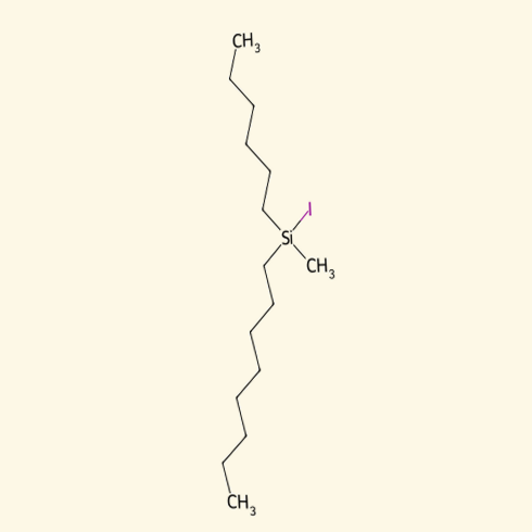 CCCCCCCC[Si](C)(I)CCCCCC